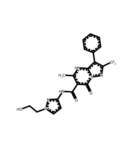 Cc1[nH]c2c(-c3ccccc3)c(C(F)(F)F)nn2c(=O)c1C(=O)Nc1ccn(CCO)n1